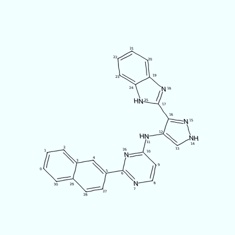 c1ccc2cc(-c3nccc(Nc4c[nH]nc4-c4nc5ccccc5[nH]4)n3)ccc2c1